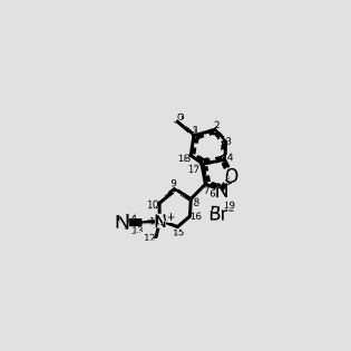 Cc1ccc2onc(C3CC[N+](C)(C#N)CC3)c2c1.[Br-]